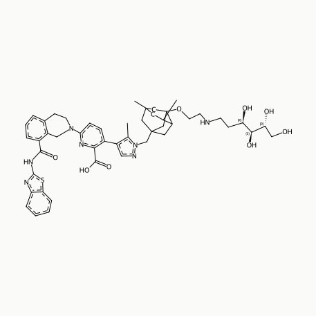 Cc1c(-c2ccc(N3CCc4cccc(C(=O)Nc5nc6ccccc6s5)c4C3)nc2C(=O)O)cnn1CC12CC3C(C)CC(C)(C1)CC3(OCCNCC[C@@H](O)[C@H](O)[C@H](O)CO)C2